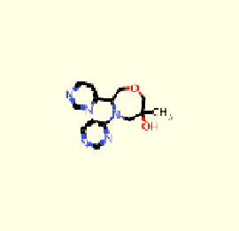 CC1(O)COCC(c2ccncn2)N(c2ccncn2)C1